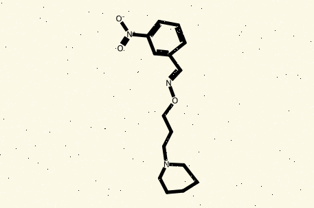 O=[N+]([O-])c1cccc(/[C]=N/OCCCN2CCCCC2)c1